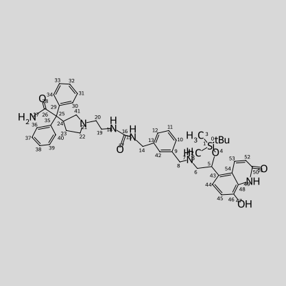 CC(C)(C)[Si](C)(C)OC(CNCc1cccc(CNC(=O)NCCN2CCC(C(C(N)=O)(c3ccccc3)c3ccccc3)C2)c1)c1ccc(O)c2[nH]c(=O)ccc12